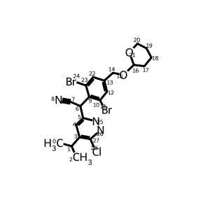 CC(C)c1cc(C(C#N)c2c(Br)cc(COC3CCCCO3)cc2Br)nnc1Cl